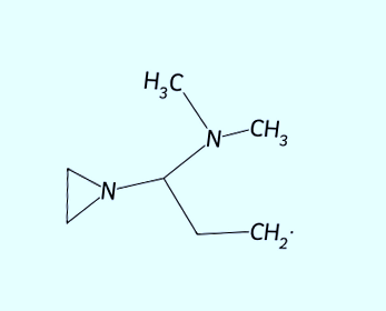 [CH2]CC(N(C)C)N1CC1